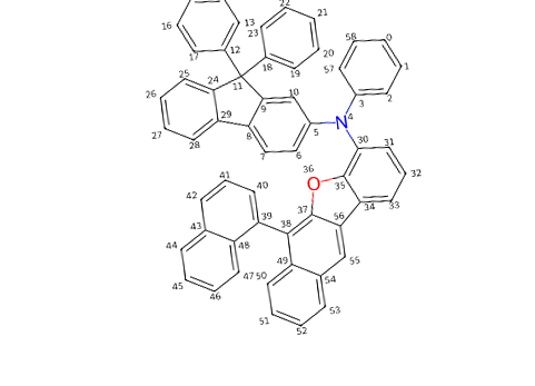 c1ccc(N(c2ccc3c(c2)C(c2ccccc2)(c2ccccc2)c2ccccc2-3)c2cccc3c2oc2c(-c4cccc5ccccc45)c4ccccc4cc23)cc1